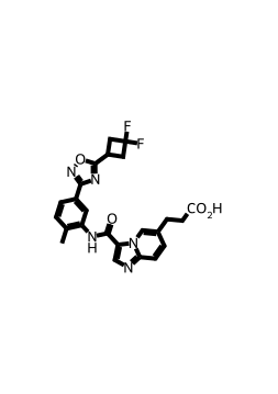 Cc1ccc(-c2noc(C3CC(F)(F)C3)n2)cc1NC(=O)c1cnc2ccc(CCC(=O)O)cn12